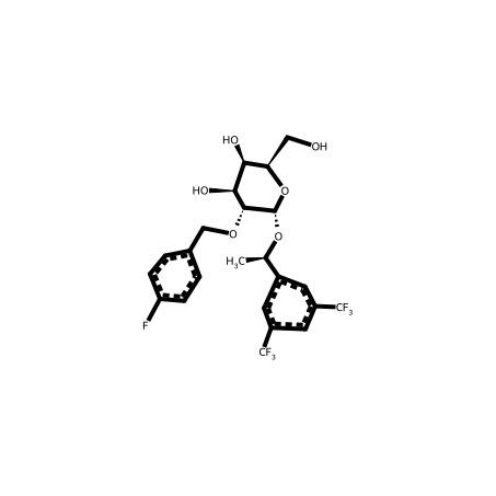 C[C@@H](O[C@H]1O[C@H](CO)[C@H](O)[C@H](O)[C@H]1OCc1ccc(F)cc1)c1cc(C(F)(F)F)cc(C(F)(F)F)c1